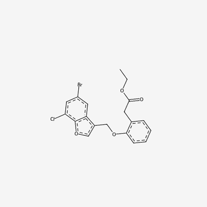 CCOC(=O)Cc1ccccc1OCc1coc2c(Cl)cc(Br)cc12